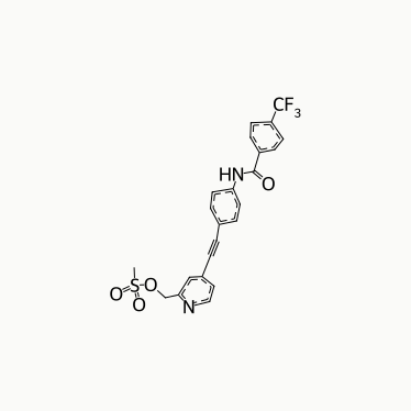 CS(=O)(=O)OCc1cc(C#Cc2ccc(NC(=O)c3ccc(C(F)(F)F)cc3)cc2)ccn1